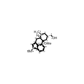 COC12C[C@@H](CO)CN(C)[C@@H]1Cc1cn(C(C)(C)C)c3cccc2c13